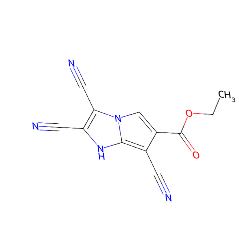 CCOC(=O)c1cn2c(C#N)c(C#N)[nH]c2c1C#N